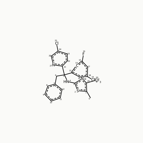 Cc1sc(NC(Cc2ccccc2)(c2cc(F)cc(C(F)(F)F)c2)c2ccc(Cl)cn2)nc1C(F)(F)F